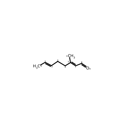 C/C=C/CC/C(C)=C/C=O